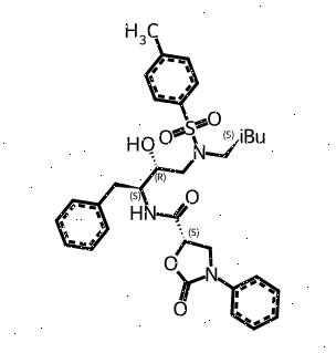 CC[C@H](C)CN(C[C@@H](O)[C@H](Cc1ccccc1)NC(=O)[C@@H]1CN(c2ccccc2)C(=O)O1)S(=O)(=O)c1ccc(C)cc1